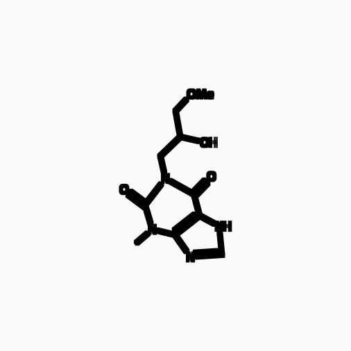 COCC(O)Cn1c(=O)c2[nH]cnc2n(C)c1=O